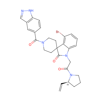 C=C[C@@H]1CCCN1C(=O)CN1C(=O)C2(CCN(C(=O)c3ccc4[nH]ncc4c3)CC2)c2c(Br)cccc21